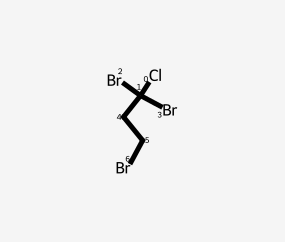 ClC(Br)(Br)CCBr